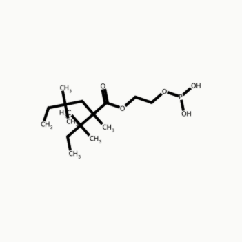 CCC(C)(C)CC(C)(C(=O)OCCOP(O)O)C(C)(C)CC